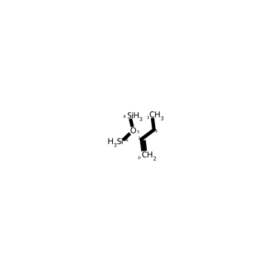 C=CCC.[SiH3]O[SiH3]